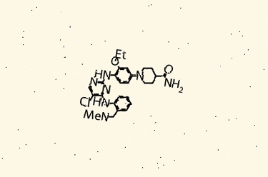 CCOc1cc(N2CCC(C(N)=O)CC2)ccc1Nc1ncc(Cl)c(Nc2ccccc2CNC)n1